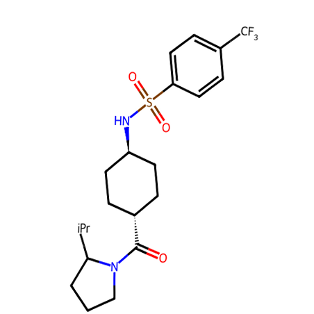 CC(C)C1CCCN1C(=O)[C@H]1CC[C@H](NS(=O)(=O)c2ccc(C(F)(F)F)cc2)CC1